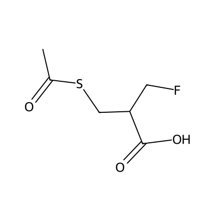 CC(=O)SCC(CF)C(=O)O